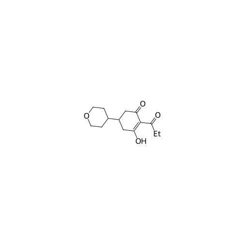 CCC(=O)C1=C(O)CC(C2CCOCC2)CC1=O